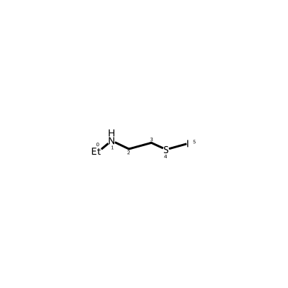 CCNCCSI